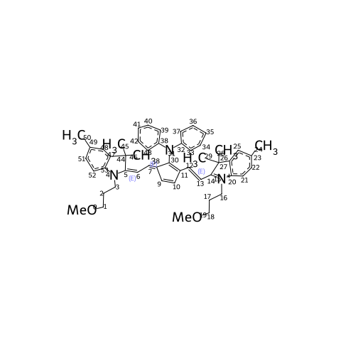 COCCCN1/C(=C/C=C2\C=CC(/C=C/C3=[N+](CCCOC)c4ccc(C)cc4C3(C)C)=C2N(c2ccccc2)c2ccccc2)C(C)(C)c2cc(C)ccc21